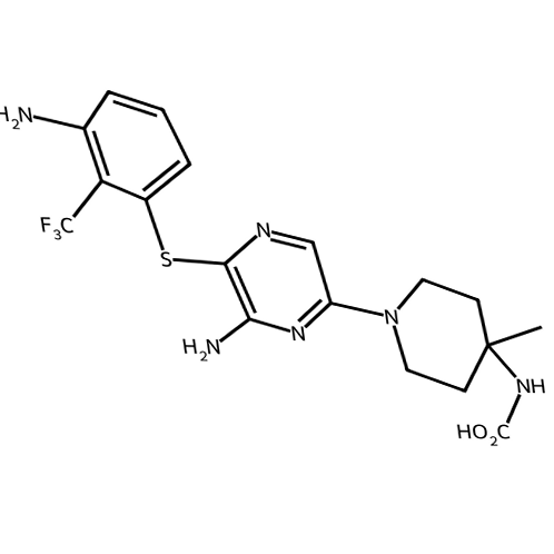 CC1(NC(=O)O)CCN(c2cnc(Sc3cccc(N)c3C(F)(F)F)c(N)n2)CC1